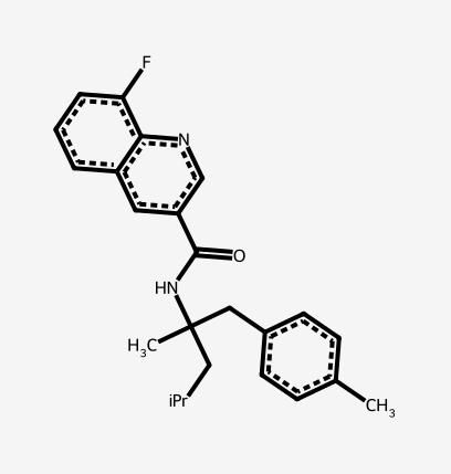 Cc1ccc(CC(C)(CC(C)C)NC(=O)c2cnc3c(F)cccc3c2)cc1